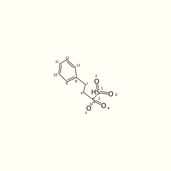 O=[SH](=O)S(=O)(=O)CCc1ccccc1